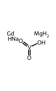 [Gd].[MgH2].[NaH].[O]=[V](=[O])[OH]